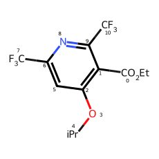 CCOC(=O)c1c(OC(C)C)cc(C(F)(F)F)nc1C(F)(F)F